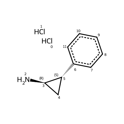 Cl.Cl.N[C@@H]1C[C@H]1c1ccccc1